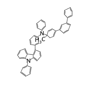 CC1(N(c2ccccc2)c2cccc(-c3cccc4c3c3ccccc3n4-c3ccccc3)c2)C=CC(c2cccc(-c3ccccc3)c2)=CC1